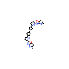 CC1=Nc2nc(-c3cccc(-c4ccc(-c5ccc(-c6cccc(-c7nc8nc(C)ccc8o7)n6)cc5)cc4)n3)oc2CC1